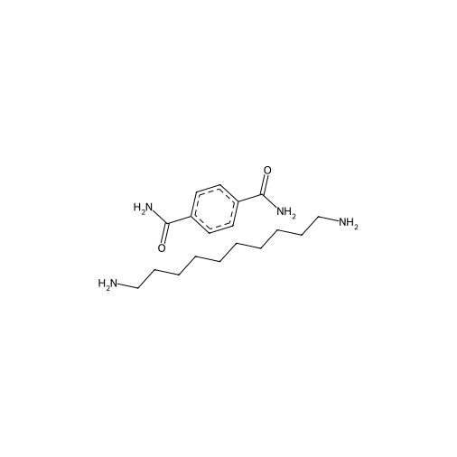 NC(=O)c1ccc(C(N)=O)cc1.NCCCCCCCCCCN